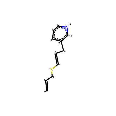 C=CCSC=CCc1cccnc1